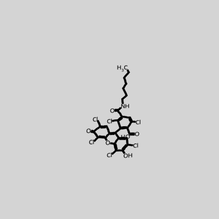 CCCCCCCNC(=O)c1cc(Cl)c(C(=O)O)c(-c2c3cc(Cl)c(=O)c(Cl)c-3oc3c(Cl)c(O)c(Cl)cc23)c1Cl